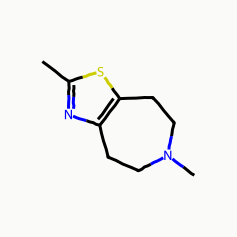 Cc1nc2c(s1)CCN(C)CC2